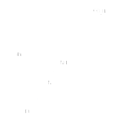 CC/C(C)=C/N=C1/NC(c2ccc(CC(=O)O)cc2)=C/C1=C(/C)C(C)C